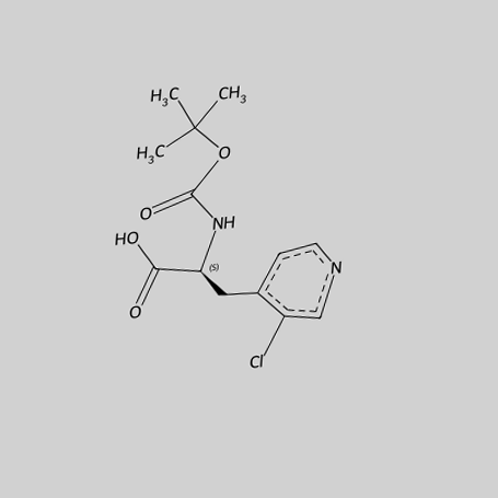 CC(C)(C)OC(=O)N[C@@H](Cc1ccncc1Cl)C(=O)O